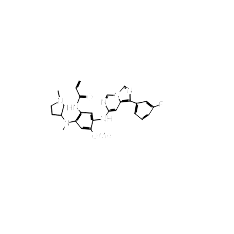 C=CC(=O)Nc1cc(Nc2cc3c(-c4cccc(F)c4)ncn3cn2)c(OC)cc1N(C)C1CCN(C)C1